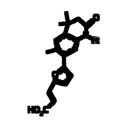 CCN1C(=O)CC(C)(C)c2cc(C)c(-c3ccc(/C=C/C(=O)O)o3)cc21